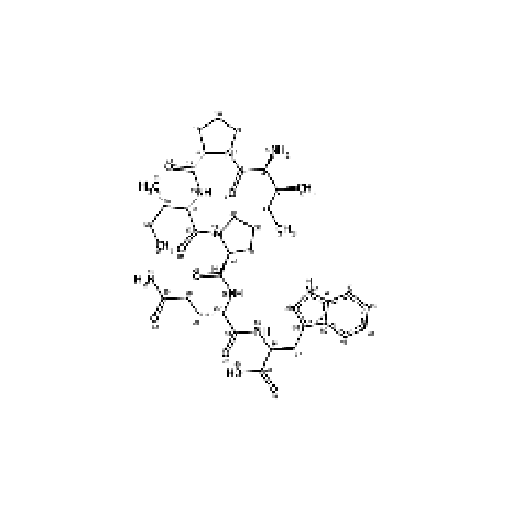 CC[C@H](C)[C@H](N)C(=O)N1CCC[C@H]1C(=O)N[C@H](C(=O)N1CCC[C@H]1C(=O)N[C@@H](CCC(N)=O)C(=O)N[C@@H](Cc1c[nH]c2ccccc12)C(=O)O)[C@@H](C)CC